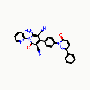 N#Cc1c(-c2ccc(-n3nc(-c4ccccc4)ccc3=O)cc2)c(C#N)c(=O)n(-c2ccccn2)c1N